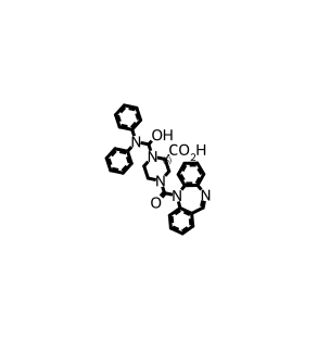 O=C(O)[C@@H]1CN(C(=O)N2c3ccccc3C=Nc3ccccc32)CCN1C(O)N(c1ccccc1)c1ccccc1